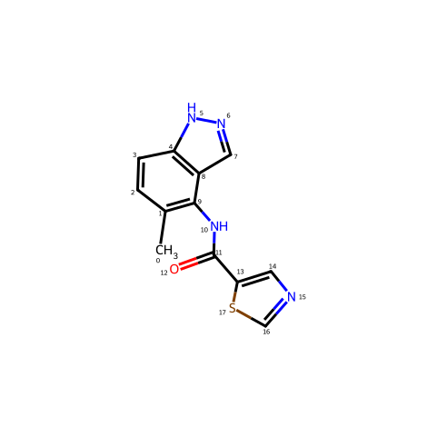 Cc1ccc2[nH]ncc2c1NC(=O)c1cncs1